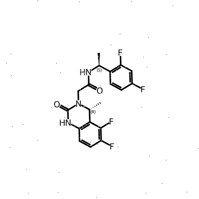 C[C@H](NC(=O)CN1C(=O)Nc2ccc(F)c(F)c2[C@H]1C)c1ccc(F)cc1F